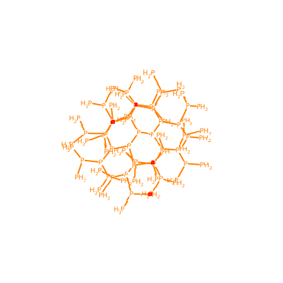 PPP(P)P(P(P(P)P)P(P)P)P(P(P(P(P)P)P(P)P)P(P(P)P)P(P)P)P(P(P(P(P)P)P(P)P)P(P(P)P)P(P)P)P(P(P(P(P)P)P(P)P)P(P(P)P)P(P)P)P(P(P(P)P)P(P)P)P(P(P)P)P(P)P